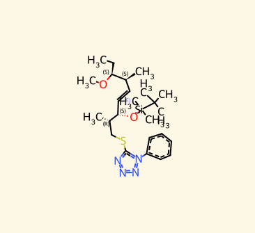 CC[C@H](OC)[C@@H](C)/C=C/[C@H](O[Si](C)(C)C(C)(C)C)[C@@H](C)CSc1nnnn1-c1ccccc1